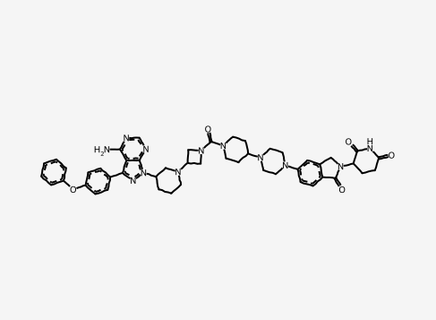 Nc1ncnc2c1c(-c1ccc(Oc3ccccc3)cc1)nn2C1CCCN(C2CN(C(=O)N3CCC(N4CCN(c5ccc6c(c5)CN(C5CCC(=O)NC5=O)C6=O)CC4)CC3)C2)C1